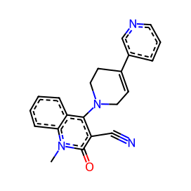 Cn1c(=O)c(C#N)c(N2CC=C(c3cccnc3)CC2)c2ccccc21